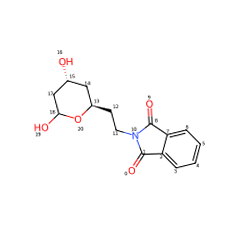 O=C1c2ccccc2C(=O)N1CC[C@@H]1C[C@@H](O)CC(O)O1